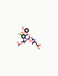 COC(=O)CCc1nc(C[C@H]2O[C@H](c3cccc(OC)c3OC)c3cc(Cl)ccc3N(CC(C)(C)COC(C)=O)C2=O)oc1C